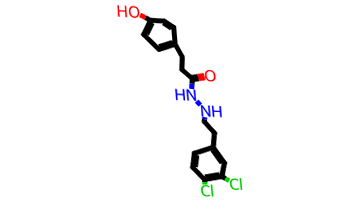 O=C(CCc1ccc(O)cc1)NNCCc1ccc(Cl)c(Cl)c1